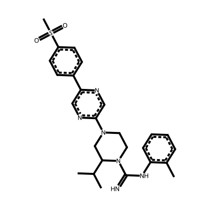 Cc1ccccc1NC(=N)N1CCN(c2cnc(-c3ccc(S(C)(=O)=O)cc3)cn2)CC1C(C)C